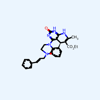 CCOC(=O)C1=C(C)Nc2[nH]c(=O)nc(N3CCN(C/C=C/c4ccccc4)CC3)c2[C@@H]1c1ccccc1